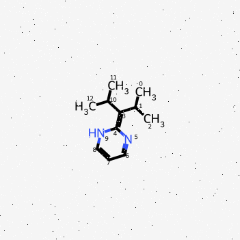 CC(C)C(=C1N=CC=CN1)C(C)C